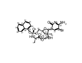 CC(C)OC(=O)[C@@H](C)N[P@@](=O)(OC[C@H]1OC(n2cc(Br)c(N)nc2=O)[C@](C)(O)[C@@H]1O)Oc1cccc2ccccc12